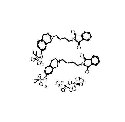 O=C1c2ccccc2C(=O)N1CCCCN1CCc2ccc(OS(=O)(=O)C(F)(F)F)cc2C1.O=C1c2ccccc2C(=O)N1CCCCN1CCc2ccc(OS(=O)(=O)C(F)(F)F)cc2C1.O=S(=O)(OS(=O)(=O)C(F)(F)F)C(F)(F)F